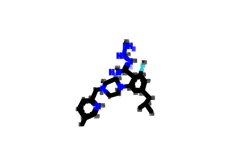 Cc1ccc(CN2CCN(c3cc(CC(C)C)cc(F)c3/C(N)=N/NN)CC2)nc1